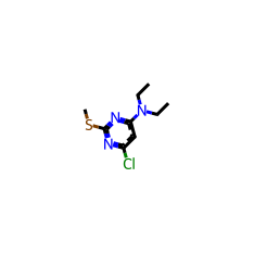 CCN(CC)c1cc(Cl)nc(SC)n1